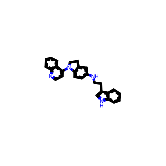 c1ccc2c(N3CCc4cc(NCCc5c[nH]c6ccccc56)ccc43)ccnc2c1